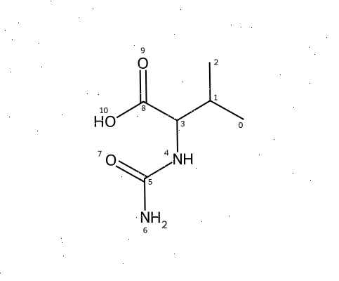 CC(C)C(NC(N)=O)C(=O)O